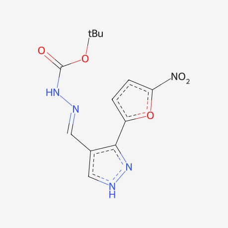 CC(C)(C)OC(=O)NN=Cc1c[nH]nc1-c1ccc([N+](=O)[O-])o1